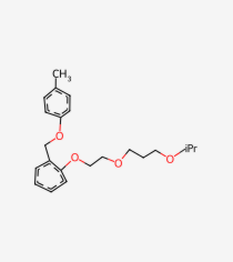 Cc1ccc(OCc2ccccc2OCCOCCCOC(C)C)cc1